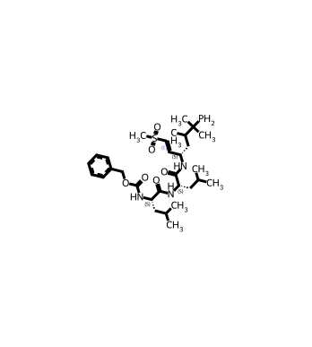 CC(C)C[C@H](NC(=O)OCc1ccccc1)C(=O)N[C@@H](CC(C)C)C(=O)N[C@H](/C=C/S(C)(=O)=O)CC(C)C(C)(C)P